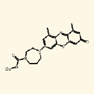 Cc1cc(=O)cc2sc3cc(N4CCCN(C(=O)OC(C)(C)C)CC4)cc(C)c3nc1-2